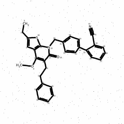 CCc1cc2c(OC)c(CCc3ccccc3)c(=O)n(Cc3ccc(-c4ccccc4C#N)cc3)c2s1